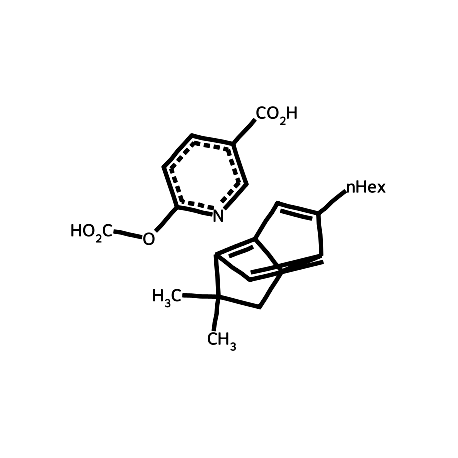 CCCCCCC1=CC2=C3C=C1C2CC3(C)C.O=C(O)Oc1ccc(C(=O)O)cn1